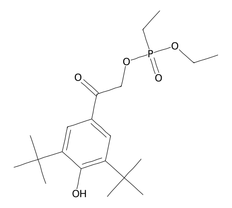 CCOP(=O)(CC)OCC(=O)c1cc(C(C)(C)C)c(O)c(C(C)(C)C)c1